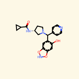 O=C(N[C@@H]1CCN(C(c2ccncc2)c2cc3c(cc2O)ONO3)C1)C1CC1